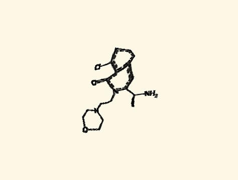 C[C@H](N)c1cc2cccc(Cl)c2c(=O)n1CCN1CCOCC1